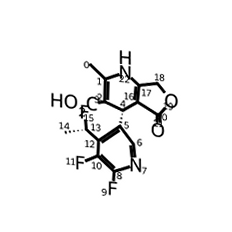 CC1=C(C(=O)O)[C@@H](c2cnc(F)c(F)c2[C@H](C)F)C2=C(COC2=O)N1